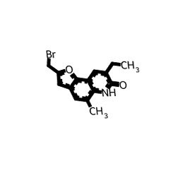 CCc1cc2c([nH]c1=O)c(C)cc1cc(CBr)oc12